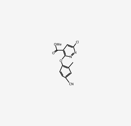 COC(=O)c1cc(Cl)nnc1Oc1ccc(C#N)cc1C